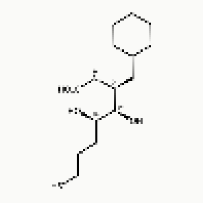 O=C(O)N[C@@H](CC1CCCCC1)[C@@H](O)[C@H](O)CCCS